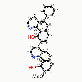 COc1ccc2ccc3c(-c4ccc5cc(-c6ccccc6)c6cccnc6c5c4O)ccnc3c2c1O